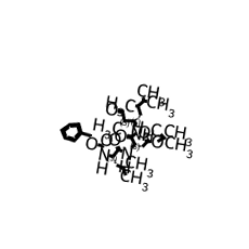 CC(C)C[C@H](NC(=O)OCc1ccccc1)C(=O)N[C@@H](CC(=O)OC(C)(C)C)C(=O)N[C@@H](CC(C)C(C)C)[C@H](C)C=O